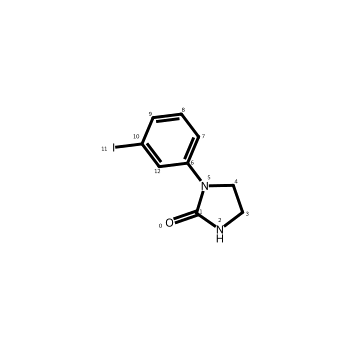 O=C1NCCN1c1cccc(I)c1